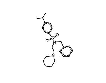 CC(C)c1ccc(S(=O)(=O)N(CCN2CCCCC2)Cc2ccccc2)cc1